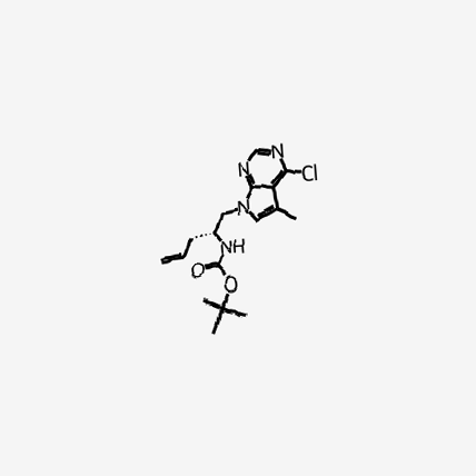 C=CC[C@H](Cn1cc(C)c2c(Cl)ncnc21)NC(=O)OC(C)(C)C